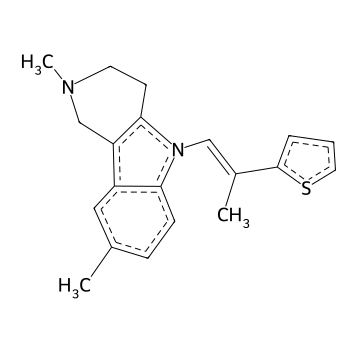 C/C(=C\n1c2c(c3cc(C)ccc31)CN(C)CC2)c1cccs1